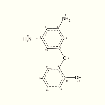 Nc1cc(N)cc(Oc2ccccc2O)c1